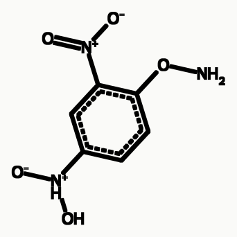 NOc1ccc([NH+]([O-])O)cc1[N+](=O)[O-]